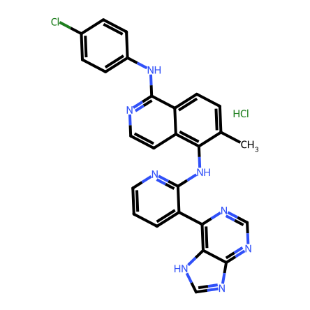 Cc1ccc2c(Nc3ccc(Cl)cc3)nccc2c1Nc1ncccc1-c1ncnc2nc[nH]c12.Cl